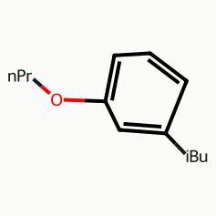 CCCOc1cccc(C(C)CC)c1